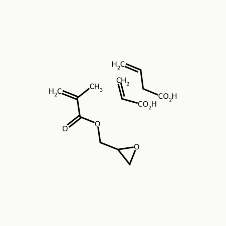 C=C(C)C(=O)OCC1CO1.C=CC(=O)O.C=CCC(=O)O